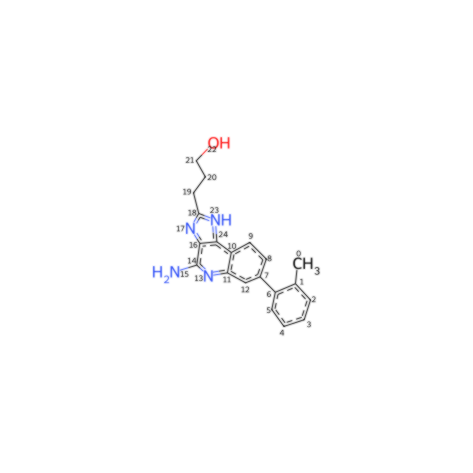 Cc1ccccc1-c1ccc2c(c1)nc(N)c1nc(CCCO)[nH]c12